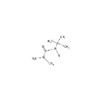 CN(C)C(=O)N(I)C(C)(C)C